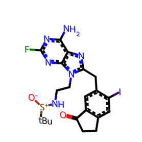 CC(C)(C)[S+]([O-])NCCn1c(Cc2cc3c(cc2I)CCC3=O)nc2c(N)nc(F)nc21